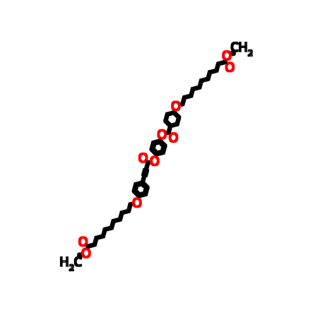 C=COC(=O)CCCCCCCCCCOc1ccc(C#CC(=O)Oc2ccc(OC(=O)C3CCC(OCCCCCCCCCCC(=O)OC=C)CC3)cc2)cc1